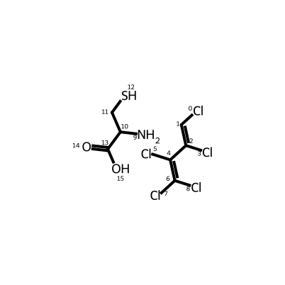 ClC=C(Cl)C(Cl)=C(Cl)Cl.NC(CS)C(=O)O